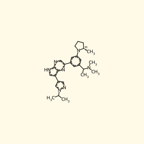 CC(c1cc(-c2cnc3[nH]cc(-c4cnn(C(C)C)c4)c3n2)cc(N2CCC[C@H]2C)c1)N(C)C